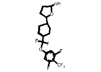 CCCC1CCC(C2CCC(C(F)(F)Oc3cc(F)c(C(F)(F)F)c(F)c3)CC2)O1